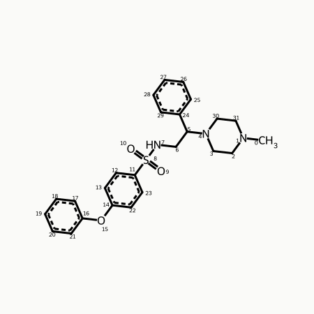 CN1CCN(C(CNS(=O)(=O)c2ccc(Oc3ccccc3)cc2)c2ccccc2)CC1